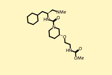 CNC[C@H](CC1CCCCC1)NC(=O)N1CCC[C@@H](OCCNC(=O)OC)C1